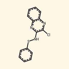 Clc1nc2ccccc2nc1NSc1ccccc1